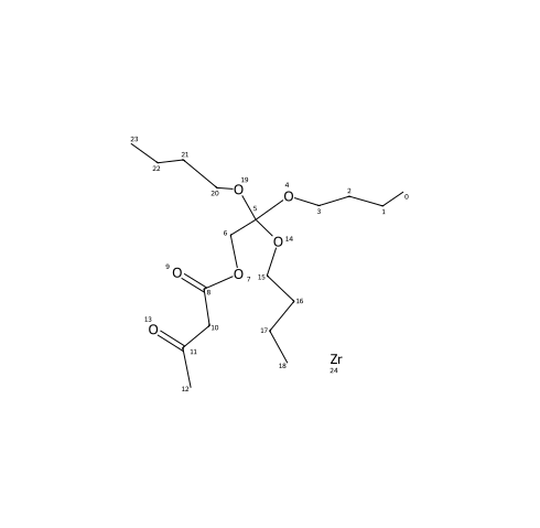 CCCCOC(COC(=O)CC(C)=O)(OCCCC)OCCCC.[Zr]